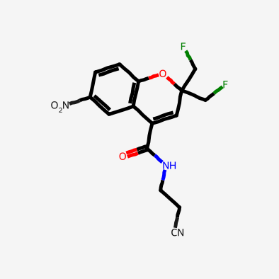 N#CCCNC(=O)C1=CC(CF)(CF)Oc2ccc([N+](=O)[O-])cc21